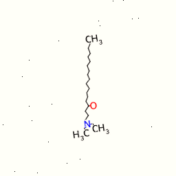 CCCCCCCCCCCCCCCC(=O)CCCN(CC)CC